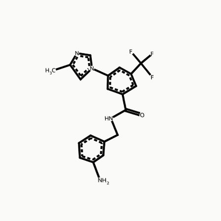 Cc1cn(-c2cc(C(=O)NCc3cccc(N)c3)cc(C(F)(F)F)c2)cn1